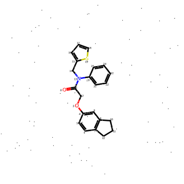 O=C(COc1ccc2c(c1)CCC2)N(Cc1cccs1)c1ccccc1